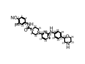 N#Cc1ccc(NC(=O)N2CCN(c3ccnc(Nc4ccc(C5CNCCO5)cc4)n3)CC2)cc1F